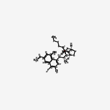 CCCCOC(=O)N1[C@@H]2CC[C@H]1[C@@H]([C@H](C)Oc1nc(Cl)c(F)c3nc(SC)nc(O)c13)NC2